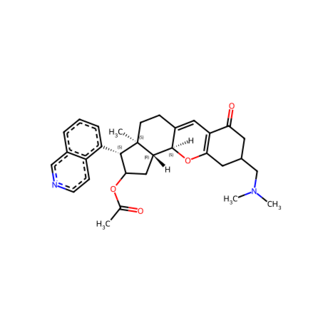 CC(=O)OC1C[C@H]2[C@@H]3OC4=C(C=C3CC[C@]2(C)[C@H]1c1cccc2cnccc12)C(=O)CC(CN(C)C)C4